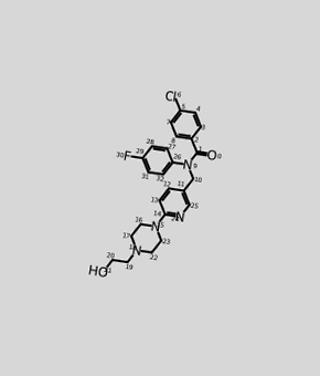 O=C(c1ccc(Cl)cc1)N(Cc1ccc(N2CCN(CCO)CC2)nc1)c1ccc(F)cc1